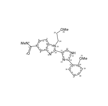 CNC(=O)c1ccc2c(c1)nc(-c1c[nH]c(-c3ccccc3OC)n1)n2CCOC